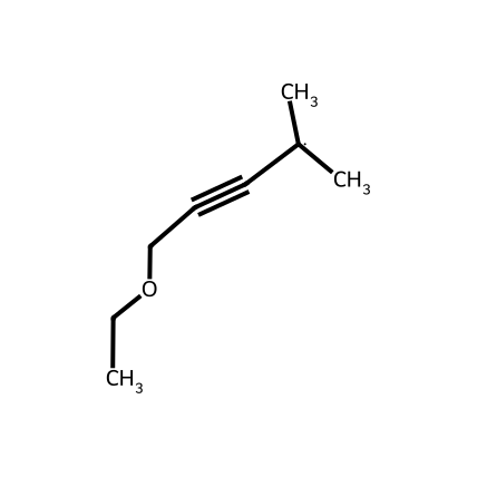 CCOCC#C[C](C)C